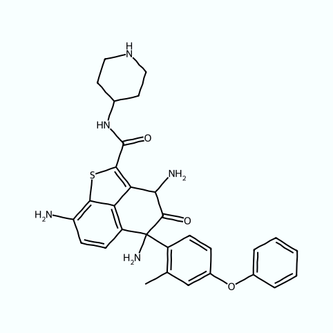 Cc1cc(Oc2ccccc2)ccc1C1(N)C(=O)C(N)c2c(C(=O)NC3CCNCC3)sc3c(N)ccc1c23